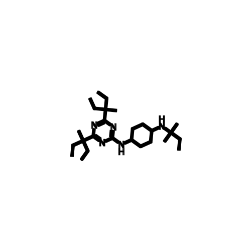 CCC(C)(C)NC1CCC(Nc2nc(C(C)(CC)CC)nc(C(C)(CC)CC)n2)CC1